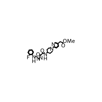 COC(=O)Cc1ccc(N2CCC(NC(=O)c3nnc(Nc4ccccc4F)o3)CC2)nc1